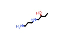 CCC(O)CNCCCN